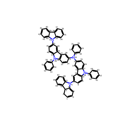 C1=CCC2C(=C1)N(c1ccc3c(c1)c1cc(N(c4ccccc4)c4ccc5c(c4)c4cc(-n6c7ccccc7c7ccccc76)ccc4n5-c4ccccc4)ccc1n3-c1ccccc1)c1ccccc12